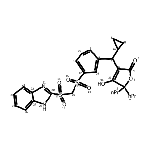 CCCC1(CCC)OC(=O)C(C(c2cccc(S(=O)(=O)CS(=O)(=O)c3nc4ccccc4[nH]3)c2)C2CC2)=C1O